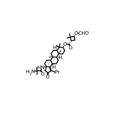 CC(C)C1=C2[C@H]3CC[C@@H]4[C@@]5(C)CC[C@H](OC(=O)[C@H]6C[C@@H](OC=O)C6(C)C)C(C)(C)[C@@H]5CC[C@@]4(C)[C@]3(C)CC[C@@]2(NC(=O)C(C)(C)N)CC1=O